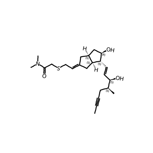 CC#CC[C@H](C)[C@H](O)C=C[C@@H]1[C@H]2CC(=CCSCC(=O)N(C)C)C[C@H]2C[C@H]1O